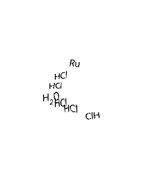 Cl.Cl.Cl.Cl.Cl.O.[Ru]